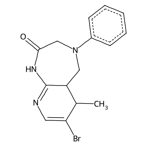 CC1C(Br)=CN=C2NC(=O)CN(c3ccccc3)CC21